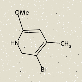 COC1=CC(C)=C(Br)CN1